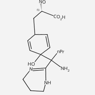 CCCC(N)(C1=NCCCN1)C1(O)C=CC(C[C@H](N=O)C(=O)O)C=C1